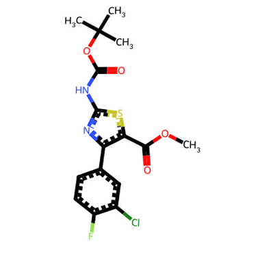 COC(=O)c1sc(NC(=O)OC(C)(C)C)nc1-c1ccc(F)c(Cl)c1